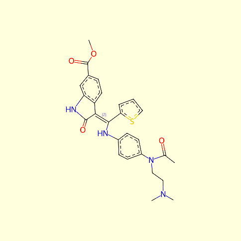 COC(=O)c1ccc2c(c1)NC(=O)/C2=C(\Nc1ccc(N(CCN(C)C)C(C)=O)cc1)c1cccs1